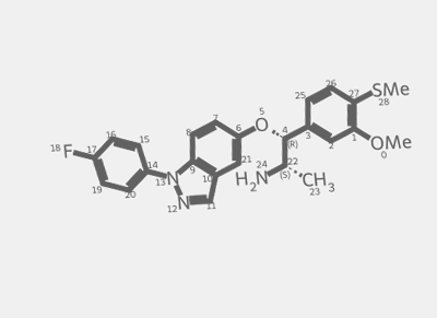 COc1cc([C@@H](Oc2ccc3c(cnn3-c3ccc(F)cc3)c2)[C@H](C)N)ccc1SC